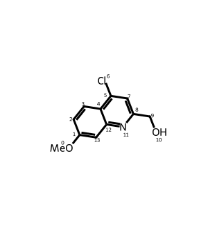 COc1ccc2c(Cl)cc(CO)nc2c1